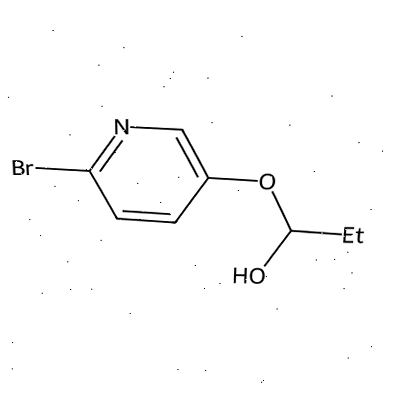 CCC(O)Oc1ccc(Br)nc1